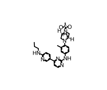 CCCNc1ccc(-c2ccnc(Nc3ccc(N4C[C@@H]5C[C@H]4CN5S(C)(=O)=O)c(C)c3)n2)cn1